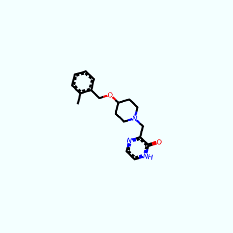 Cc1ccccc1COC1CCN(Cc2ncc[nH]c2=O)CC1